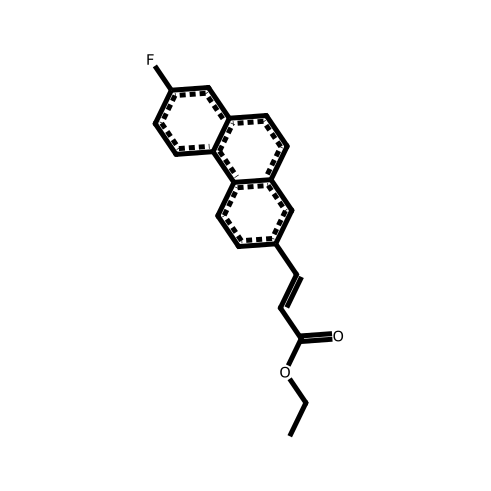 CCOC(=O)/C=C/c1ccc2c(ccc3cc(F)ccc32)c1